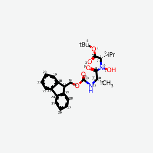 CC(C)[C@@H](C(=O)OC(C)(C)C)N(O)C(=O)[C@H](C)NC(=O)OCC1c2ccccc2-c2ccccc21